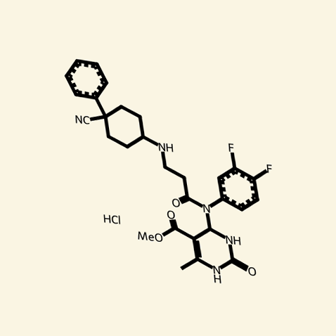 COC(=O)C1=C(C)NC(=O)NC1N(C(=O)CCNC1CCC(C#N)(c2ccccc2)CC1)c1ccc(F)c(F)c1.Cl